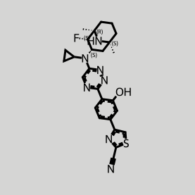 C[C@@]12CCC[C@@](C)(N1)[C@@H](F)[C@@H](N(c1cnc(-c3ccc(-c4csc(C#N)n4)cc3O)nn1)C1CC1)C2